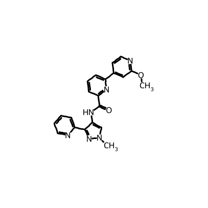 COc1cc(-c2cccc(C(=O)Nc3cn(C)nc3-c3ccccn3)n2)ccn1